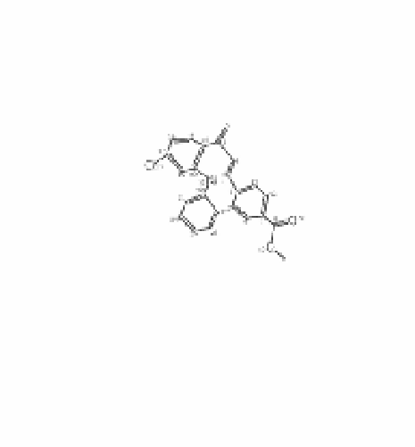 C=C(/C=C/c1ccc(C(=O)OC)cc1)c1ccc(Cl)cc1Nc1ccccc1